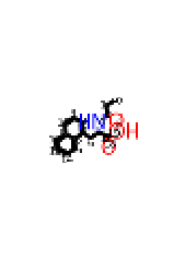 CCC(=O)NC(Cc1cccc2ccccc12)C(=O)O